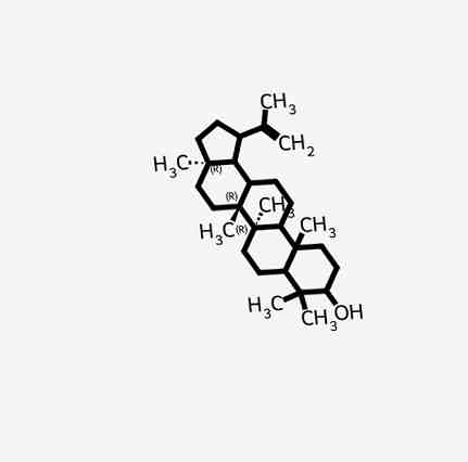 C=C(C)C1CC[C@]2(C)CC[C@]3(C)C(CCC4C5(C)CCC(O)C(C)(C)C5CC[C@]43C)C12